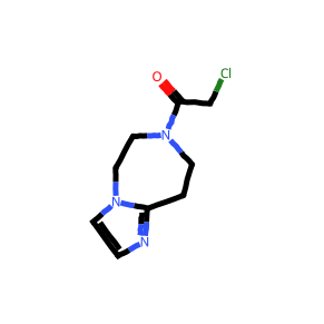 O=C(CCl)N1CCc2nccn2CC1